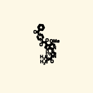 COc1cnc(-n2cnc(C(=O)N(C)C)n2)c2[nH]cc(C(=O)C(=O)N3CCN(C(=O)c4ccccc4)CC3)c12